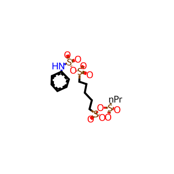 CCCS(=O)(=O)OS(=O)(=O)CCCCCS(=O)(=O)OS(=O)(=O)Nc1ccccc1